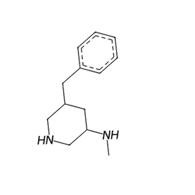 CNC1CNCC(Cc2ccccc2)C1